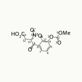 COC(=O)Oc1cccc2c(=O)c(CC(=O)O)[n+]([O-])oc12